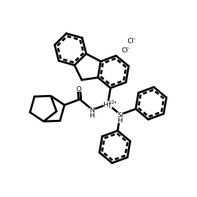 O=C([NH][Hf+2]([c]1cccc2c1Cc1ccccc1-2)[SiH](c1ccccc1)c1ccccc1)C1CC2CCC1C2.[Cl-].[Cl-]